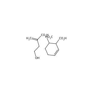 C=C(CCO)C(=O)O.O=C(O)C1C=CCCC1C(=O)O